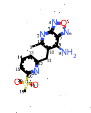 Cc1nc2nonc2c(N)c1Cc1cccc(S(C)(=O)=O)n1